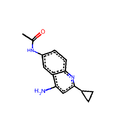 CC(=O)Nc1ccc2nc(C3CC3)cc(N)c2c1